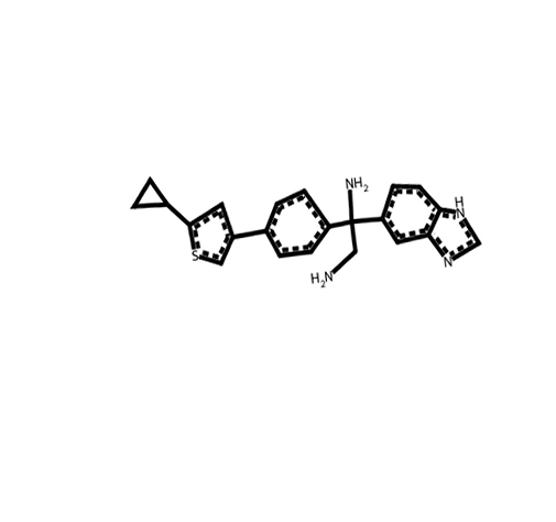 NCC(N)(c1ccc(-c2csc(C3CC3)c2)cc1)c1ccc2[nH]cnc2c1